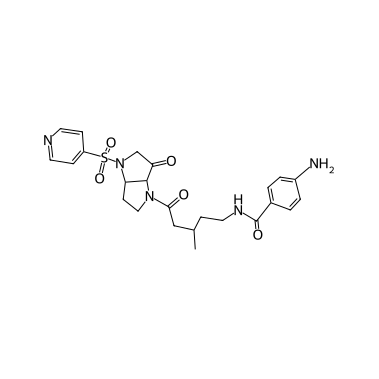 CC(CCNC(=O)c1ccc(N)cc1)CC(=O)N1CCC2C1C(=O)CN2S(=O)(=O)c1ccncc1